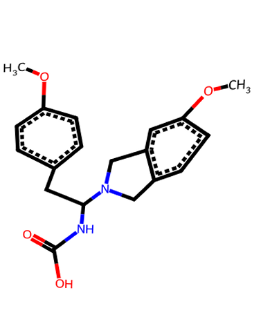 COc1ccc(CC(NC(=O)O)N2Cc3ccc(OC)cc3C2)cc1